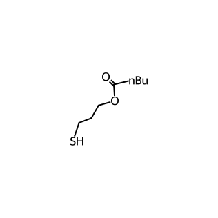 CCCCC(=O)OCCCS